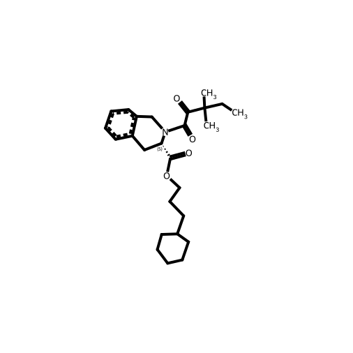 CCC(C)(C)C(=O)C(=O)N1Cc2ccccc2C[C@H]1C(=O)OCCCC1CCCCC1